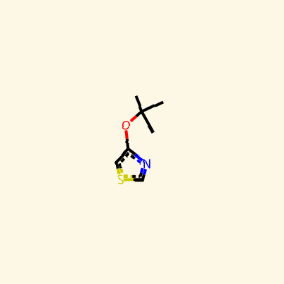 CC(C)(C)Oc1cscn1